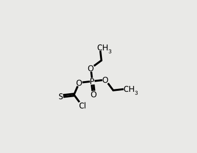 CCOP(=O)(OCC)OC(=S)Cl